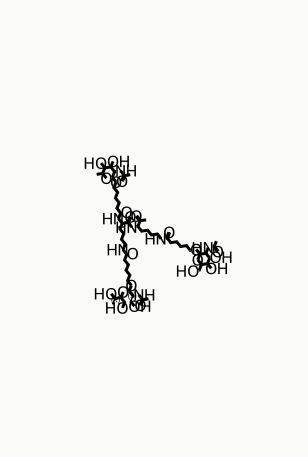 CC(=O)NC1C(OCCCCCC(=O)NC(CCCCNC(=O)CCCCCOC(OC(CO)[C@@H](C)O)[C@H](CO)NC(C)=O)C(=O)NC(CCCCNC(=O)CCCCCOC2OC(CO)C(O)C(O)C2NC(C)=O)C(C)=O)OC(C)C(O)C1O